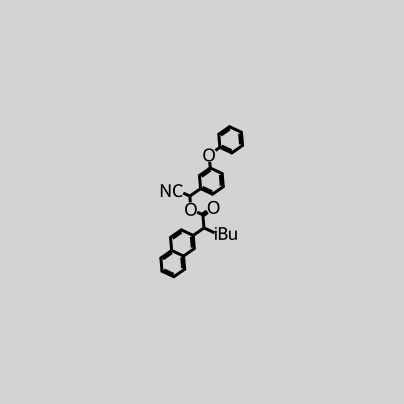 CCC(C)C(C(=O)OC(C#N)c1cccc(Oc2ccccc2)c1)c1ccc2ccccc2c1